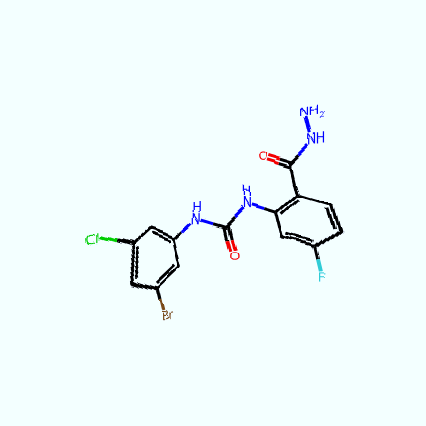 NNC(=O)c1ccc(F)cc1NC(=O)Nc1cc(Cl)cc(Br)c1